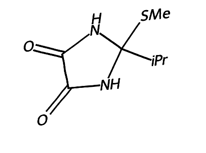 CSC1(C(C)C)NC(=O)C(=O)N1